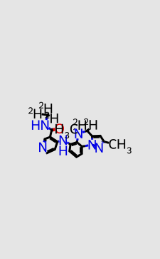 [2H]C([2H])([2H])NC(=O)c1cnccc1Nc1cccc2c1N(C)C([2H])([2H])c1cc(C)nn1-2